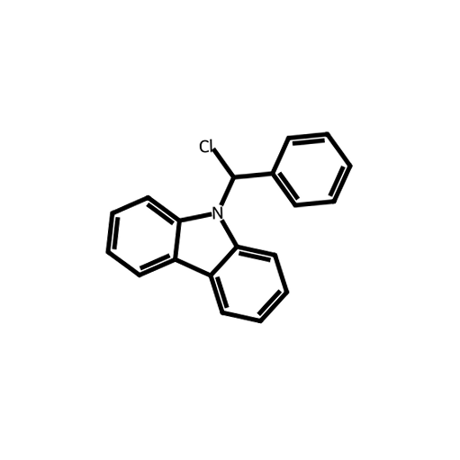 ClC(c1ccccc1)n1c2ccccc2c2ccccc21